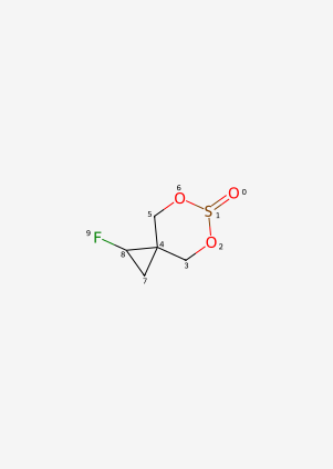 O=S1OCC2(CO1)CC2F